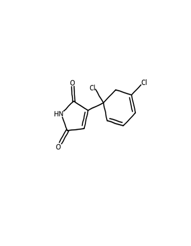 O=C1C=C(C2(Cl)C=CC=C(Cl)C2)C(=O)N1